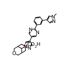 Cn1cc(-c2cccc(-c3ncc(-c4cnn(C5C6COCC5CC(C(=O)O)C6)c4)cn3)c2)cn1